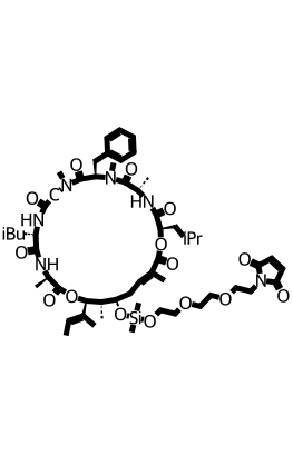 C/C=C(\C)[C@H]1OC(=O)[C@@H](C)NC(=O)[C@H](C(C)CC)NC(=O)CN(C)C(=O)[C@@H](Cc2ccccc2)N(C)C(=O)[C@H](C)NC(=O)[C@@H](CC(C)C)OC(=O)/C(C)=C/C[C@H](O[Si](C)(C)OCCOCCOCCN2C(=O)C=CC2=O)[C@@H]1C